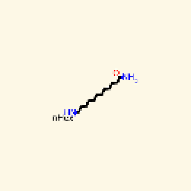 CCCCCCNCCCCCCCCCCCC(N)=O